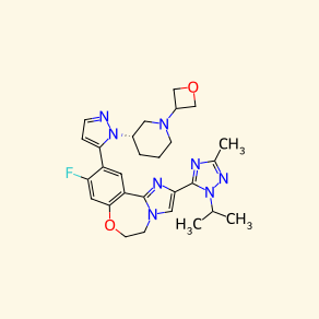 Cc1nc(-c2cn3c(n2)-c2cc(-c4ccnn4[C@H]4CCCN(C5COC5)C4)c(F)cc2OCC3)n(C(C)C)n1